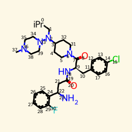 CC(C)CN(C1CCN(C(=O)[C@@H](Cc2ccc(Cl)cc2)NC(=O)CC(N)c2ccccc2F)CC1)N1CCN(C)CC1